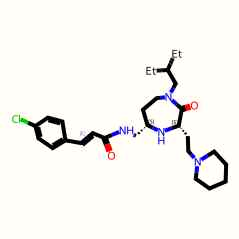 CCC(CC)CN1CC[C@@H](CNC(=O)/C=C/c2ccc(Cl)cc2)N[C@@H](CCN2CCCCC2)C1=O